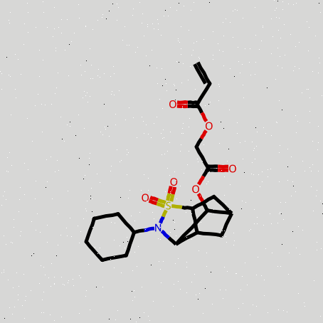 C=CC(=O)OCC(=O)OC1C2CC3C1N(C1CCCCC1)S(=O)(=O)C3C2